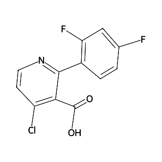 O=C(O)c1c(Cl)ccnc1-c1ccc(F)cc1F